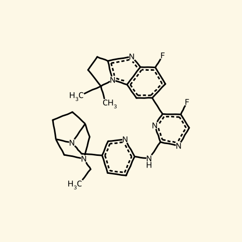 CCN1CC2CCC(C1)N2Cc1ccc(Nc2ncc(F)c(-c3cc(F)c4nc5n(c4c3)C(C)(C)CC5)n2)nc1